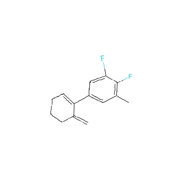 C=C1CCCC=C1c1cc(C)c(F)c(F)c1